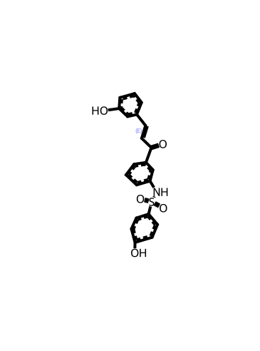 O=C(/C=C/c1cccc(O)c1)c1cccc(NS(=O)(=O)c2ccc(O)cc2)c1